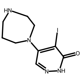 O=c1[nH]ncc(N2CCCNCC2)c1I